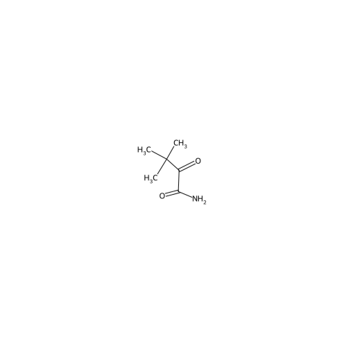 CC(C)(C)C(=O)C(N)=O